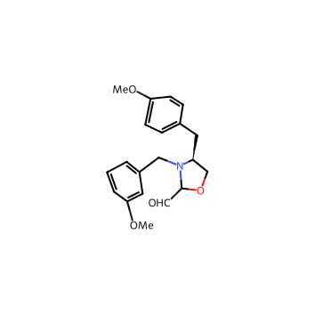 COc1ccc(C[C@H]2COC(C=O)N2Cc2cccc(OC)c2)cc1